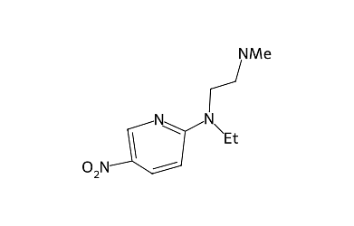 CCN(CCNC)c1ccc([N+](=O)[O-])cn1